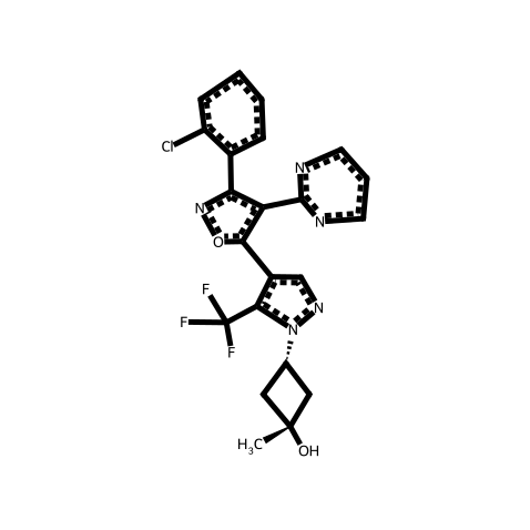 C[C@]1(O)C[C@@H](n2ncc(-c3onc(-c4ccccc4Cl)c3-c3ncccn3)c2C(F)(F)F)C1